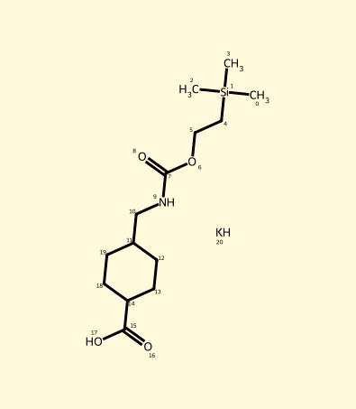 C[Si](C)(C)CCOC(=O)NCC1CCC(C(=O)O)CC1.[KH]